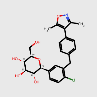 Cc1noc(C)c1-c1ccc(Cc2cc([C@@H]3O[C@H](CO)[C@@H](O)[C@H](O)[C@H]3O)ccc2Cl)cc1